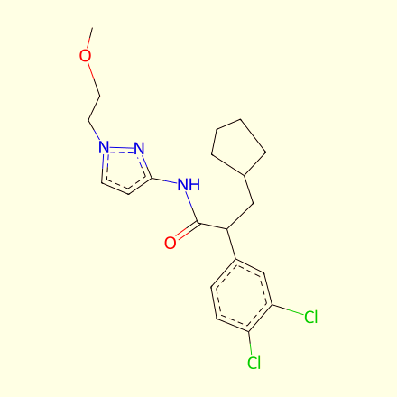 COCCn1ccc(NC(=O)C(CC2CCCC2)c2ccc(Cl)c(Cl)c2)n1